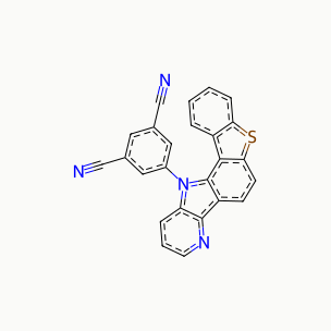 N#Cc1cc(C#N)cc(-n2c3cccnc3c3ccc4sc5ccccc5c4c32)c1